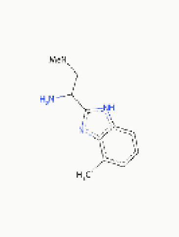 CNCC(N)c1nc2c(C)cccc2[nH]1